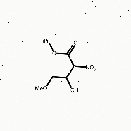 COCC(O)C(C(=O)OC(C)C)[N+](=O)[O-]